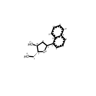 OC[C@H]1OC(c2cccc3ccccc23)C[C@@H]1O